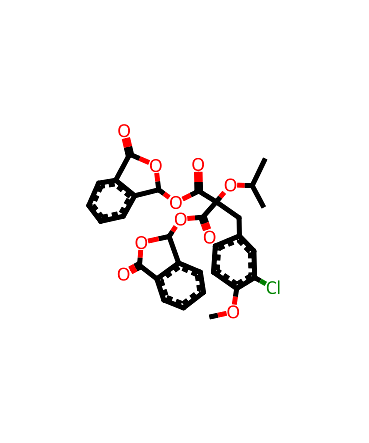 COc1ccc(CC(OC(C)C)(C(=O)OC2OC(=O)c3ccccc32)C(=O)OC2OC(=O)c3ccccc32)cc1Cl